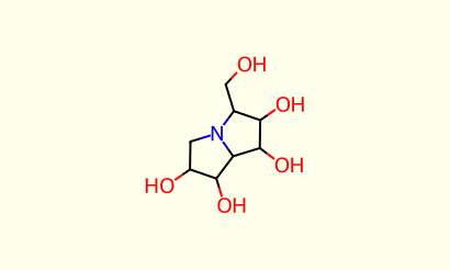 OCC1C(O)C(O)C2C(O)C(O)CN12